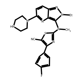 CCn1nc2ccc(N3CCNCC3)nc2c1N(C)c1nc(-c2ccc(F)cc2)c(C#N)s1